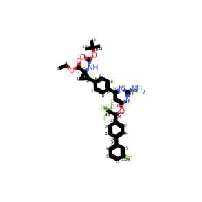 CCOC(=O)C1(NC(=O)OC(C)(C)C)CC1c1ccc(-c2cc(OC(c3ccc(-c4cccc(F)c4)cc3)C(F)(F)F)nc(N)n2)cc1